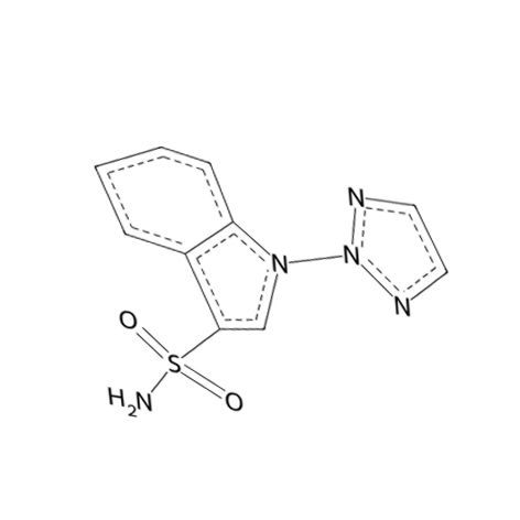 NS(=O)(=O)c1cn(-n2nccn2)c2ccccc12